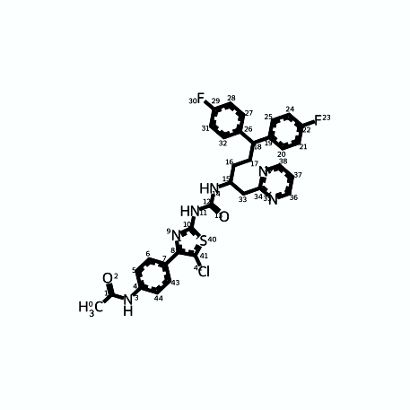 CC(=O)Nc1ccc(-c2nc(NC(=O)NC(CCC(c3ccc(F)cc3)c3ccc(F)cc3)Cc3ncccn3)sc2Cl)cc1